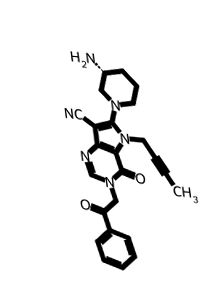 CC#CCn1c(N2CCC[C@@H](N)C2)c(C#N)c2ncn(CC(=O)c3ccccc3)c(=O)c21